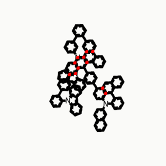 c1cc(-c2ccc(-n3c4ccccc4c4ccccc43)c(-c3ccc(-c4ccc(N(c5ccc6ccccc6c5)c5ccccc5-c5cccc6ccccc56)cc4)cc3)c2)cc(-c2ccccc2-c2cccc(N(c3ccc(-c4ccc(-c5ccccc5-n5c6ccccc6c6ccccc65)cc4)cc3)c3ccc4ccccc4c3)c2)c1